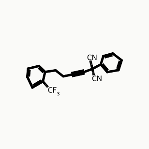 N#CC(C#N)(C#CCCc1ccccc1C(F)(F)F)c1ccccc1